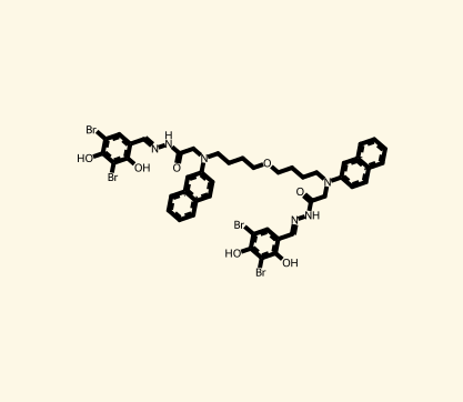 O=C(CN(CCCCOCCCCN(CC(=O)N/N=C/c1cc(Br)c(O)c(Br)c1O)c1ccc2ccccc2c1)c1ccc2ccccc2c1)N/N=C/c1cc(Br)c(O)c(Br)c1O